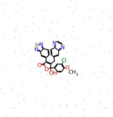 COc1ccc(C2(O)OC(=O)C(c3ccc4nsnc4c3)=C2Cc2ccc3nccnc3c2)cc1Cl